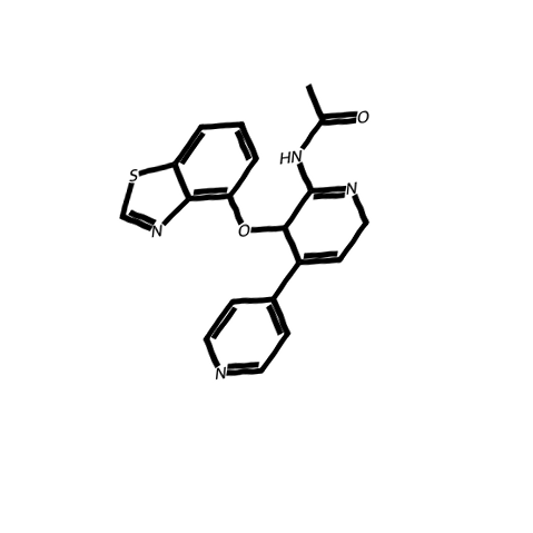 CC(=O)NC1=NCC=C(c2ccncc2)C1Oc1cccc2scnc12